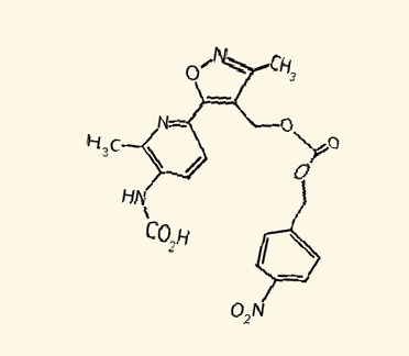 Cc1nc(-c2onc(C)c2COC(=O)OCc2ccc([N+](=O)[O-])cc2)ccc1NC(=O)O